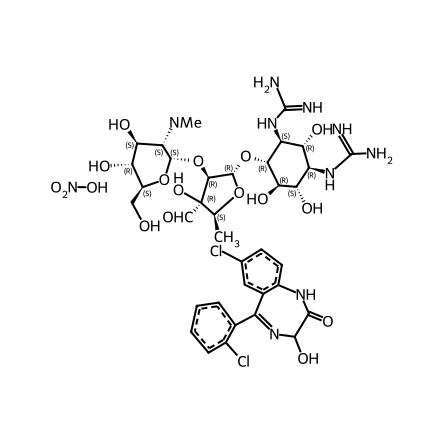 CN[C@@H]1[C@H](O[C@H]2[C@H](O[C@H]3[C@H](O)[C@@H](O)[C@H](NC(=N)N)[C@@H](O)[C@@H]3NC(=N)N)O[C@@H](C)[C@]2(O)C=O)O[C@@H](CO)[C@H](O)[C@H]1O.O=C1Nc2ccc(Cl)cc2C(c2ccccc2Cl)=NC1O.O=[N+]([O-])O